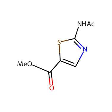 COC(=O)c1cnc(NC(C)=O)s1